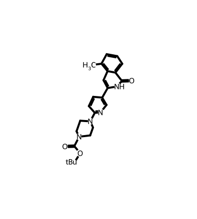 Cc1cccc2c(=O)[nH]c(-c3ccc(N4CCN(C(=O)OC(C)(C)C)CC4)nc3)cc12